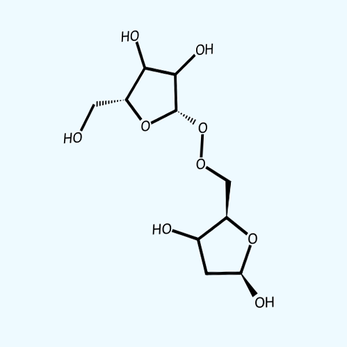 OC[C@H]1O[C@@H](OOC[C@H]2O[C@@H](O)CC2O)C(O)C1O